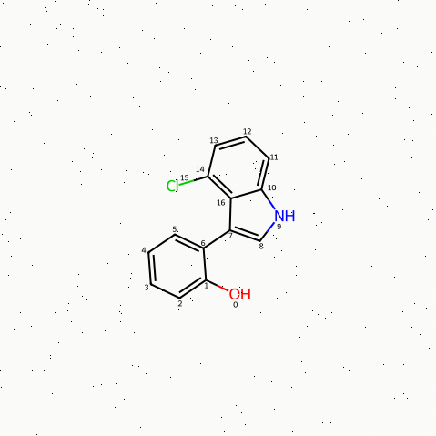 Oc1ccccc1-c1c[nH]c2cccc(Cl)c12